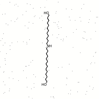 OCCCCCCCCCCCCCCNCCCCCCCCCCCCO